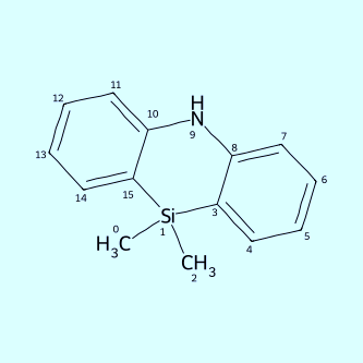 C[Si]1(C)c2ccccc2Nc2ccccc21